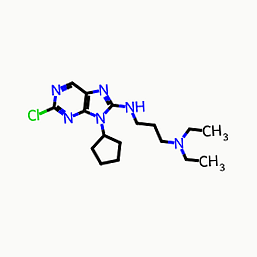 CCN(CC)CCCNc1nc2cnc(Cl)nc2n1C1CCCC1